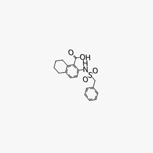 O=C(O)c1c(NS(=O)(=O)Cc2ccccc2)ccc2c1CCCC2